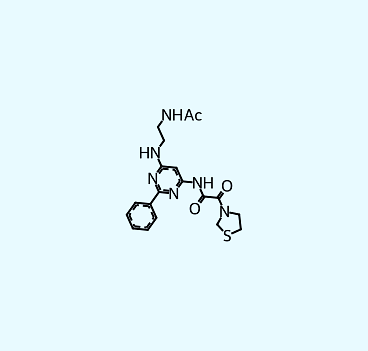 CC(=O)NCCNc1cc(NC(=O)C(=O)N2CCSC2)nc(-c2ccccc2)n1